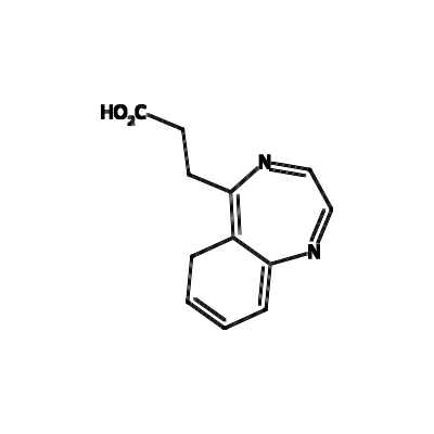 O=C(O)CCC1=C2CC=CC=C2N=CC=N1